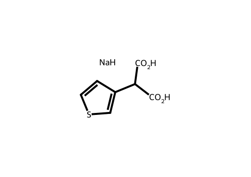 O=C(O)C(C(=O)O)c1ccsc1.[NaH]